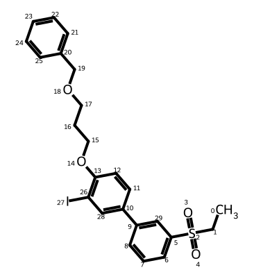 CCS(=O)(=O)c1cccc(-c2ccc(OCCCOCc3ccccc3)c(I)c2)c1